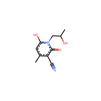 Cc1cc(O)n(CC(C)O)c(=O)c1C#N